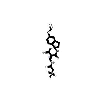 CS(=O)(=O)CC(=O)N/C=C1/C(=N)C[C@]2(CCc3cc(OCC(F)(F)F)ccc32)NC1=O